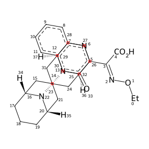 CCO/N=C(\C(=O)O)c1nc2ccccc2n([C@H]2C[C@H]3CCC[C@@H](C2)N3[C@H]2C[C@@H]3CCC[C@@H](C3)C2)c1=O